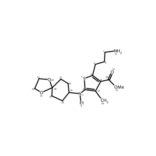 CCN(c1sc(CCCN)c(C(=O)OC)c1C)C1CCC2(CC1)OCCO2